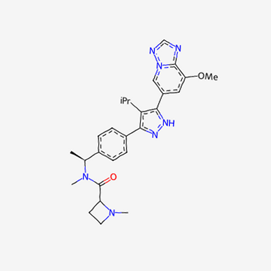 COc1cc(-c2[nH]nc(-c3ccc([C@H](C)N(C)C(=O)C4CCN4C)cc3)c2C(C)C)cn2ncnc12